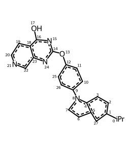 CC(C)c1ccc2c(ccn2-c2ccc(Oc3nc(O)c4ccncc4n3)cc2)c1